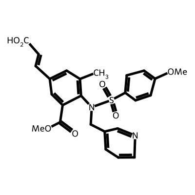 COC(=O)c1cc(C=CC(=O)O)cc(C)c1N(Cc1cccnc1)S(=O)(=O)c1ccc(OC)cc1